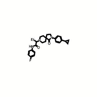 CCC(C(=O)Nc1ccc(F)cc1)N1CCC2(CCN(c3ccc(C4CC4)cc3)C2=O)CC1